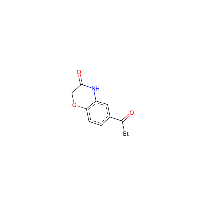 CCC(=O)c1ccc2c(c1)NC(=O)CO2